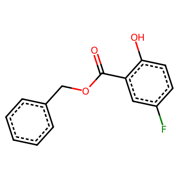 O=C(OCc1ccccc1)c1cc(F)ccc1O